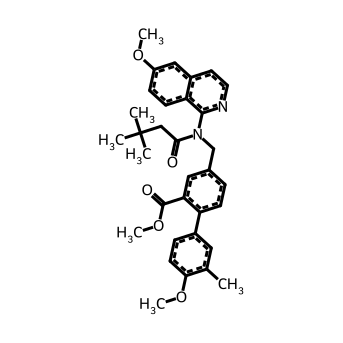 COC(=O)c1cc(CN(C(=O)CC(C)(C)C)c2nccc3cc(OC)ccc23)ccc1-c1ccc(OC)c(C)c1